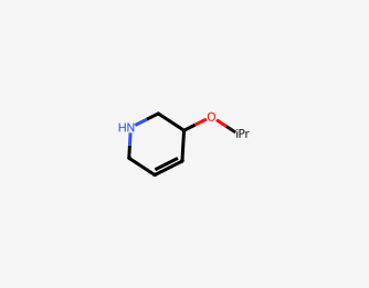 CC(C)OC1C=CCNC1